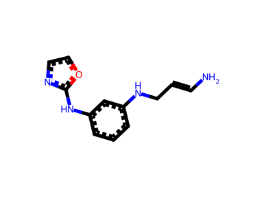 NC=CCNc1cccc(Nc2ncco2)c1